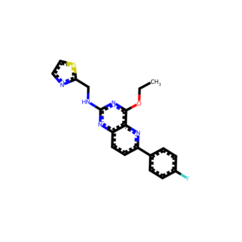 CCOc1nc(NCc2nccs2)nc2ccc(-c3ccc(F)cc3)nc12